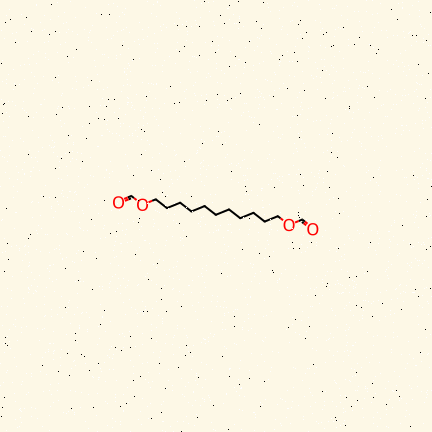 O=COCCCCCCCCCCCOC=O